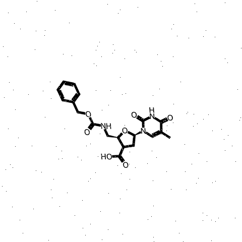 Cc1cn([C@H]2CC(C(=O)O)[C@@H](CNC(=O)OCc3ccccc3)O2)c(=O)[nH]c1=O